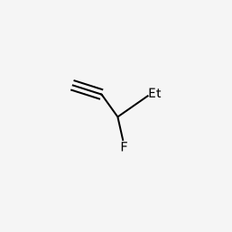 C#CC(F)C[CH2]